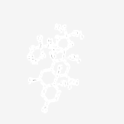 CCOP(=O)(OCC)OC(=O)[C@@]12OC(C)(C)O[C@@H]1CC1C3C[C@H](F)C4=CC(=O)C=C[C@]4(C)[C@@]3(F)[C@@H](O)C[C@@]12C